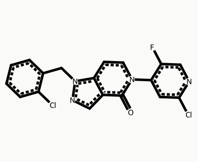 O=c1c2cnn(Cc3ccccc3Cl)c2ccn1-c1cc(Cl)ncc1F